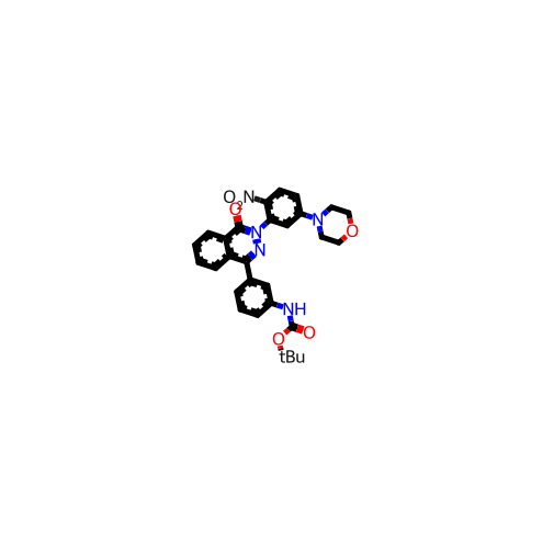 CC(C)(C)OC(=O)Nc1cccc(-c2nn(-c3cc(N4CCOCC4)ccc3[N+](=O)[O-])c(=O)c3ccccc23)c1